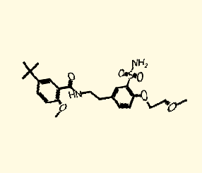 COCCOc1ccc(CCNC(=O)c2cc(C(C)(C)C)ccc2OC)cc1S(N)(=O)=O